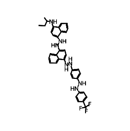 CCC(C)Nc1ccc(NNc2ccc(NNc3ccc(NNc4ccc(C(F)(F)F)cc4)cc3)c3ccccc23)c2ccccc12